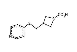 O=C(O)N1CC(CSc2ccncc2)C1